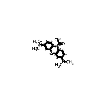 CN(C)c1ccc2c(c1)Sc1cc(N(C)C)ccc1N2C(=O)Cl